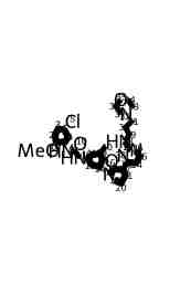 COc1ccc(Cl)cc1NC(=O)Nc1ccc(Oc2ncccc2-c2ccnc(NCCCN3CCOCC3)n2)c(C)c1